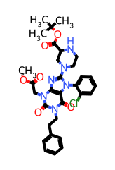 COC(=O)Cn1c(=O)n(CCc2ccccc2)c(=O)c2c1nc(N1CCNC(C(=O)OC(C)(C)C)C1)n2-c1ccccc1Cl